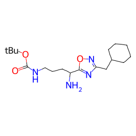 CC(C)(C)OC(=O)NCCCC(N)c1nc(CC2CCCCC2)no1